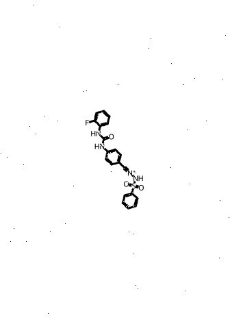 O=C(Nc1ccc(C#[N+]NS(=O)(=O)c2ccccc2)cc1)Nc1ccccc1F